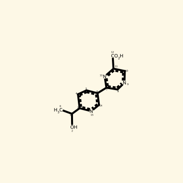 CC(O)c1ccc(-c2cncc(C(=O)O)n2)cn1